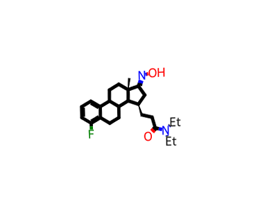 CCN(CC)C(=O)CC[C@@H]1C/C(=N\O)[C@@]2(C)CCC3c4cccc(F)c4CCC3C12